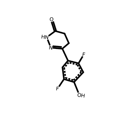 O=C1CCC(c2cc(F)c(O)cc2F)=NN1